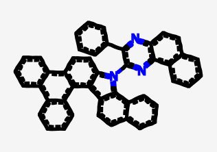 c1ccc(-c2nc3ccc4ccccc4c3nc2-n2c3ccc4c5ccccc5c5ccccc5c4c3c3ccc4ccccc4c32)cc1